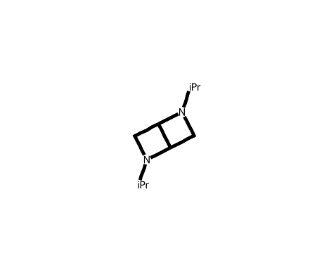 CC(C)N1CC2C1CN2C(C)C